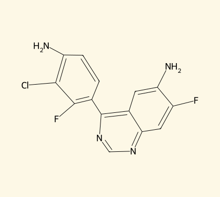 Nc1cc2c(-c3ccc(N)c(Cl)c3F)ncnc2cc1F